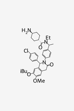 CC[C@@H](C)Oc1cc2c(cc1OC)CC(=O)N(c1ccc(C(C)N(CC)C(=O)[C@H]3CC[C@H](N)CC3)cc1)C2c1ccc(Cl)cc1